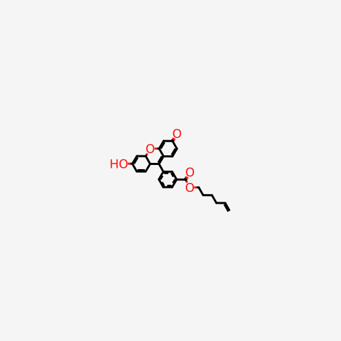 C=CCCCCOC(=O)c1cccc(C2=C3C=CC(=O)C=C3OC3C=C(O)C=CC23)c1